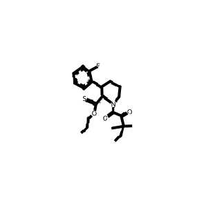 CCCOC(=S)C1C(c2ccccc2F)CCCN1C(=O)C(=O)C(C)(C)CC